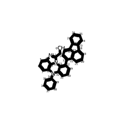 CCc1nc2cccc3c2n1-c1c(-c2ccc4c5c(cccc25)-c2ccccc2-4)cccc1N3c1ccccc1